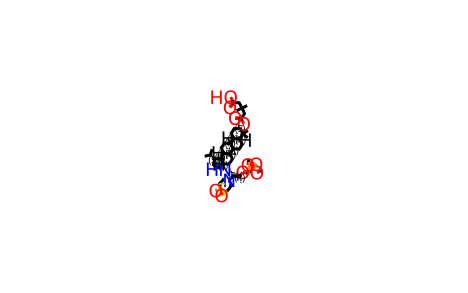 COP(=O)(CO[C@H](C)[C@@H](CN[C@]12CC[C@@H](C(C)C)[C@@H]1[C@H]1CC[C@@H]3[C@@]4(C)CC[C@H](OC(=O)CC(C)(C)CC(=O)O)C(C)(C)[C@@H]4CC[C@@]3(C)[C@]1(C)CC2)N1CCS(=O)(=O)CC1)OC